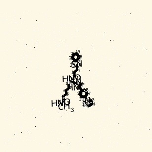 CNC(=O)CCCCC[C@H](NC(=O)CCc1nc2ccccc2s1)c1ncc(-c2ccc(-n3cccn3)cc2)[nH]1